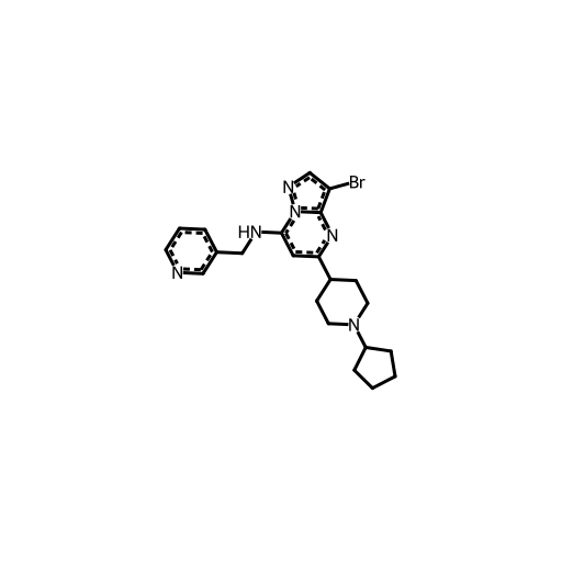 Brc1cnn2c(NCc3cccnc3)cc(C3CCN(C4CCCC4)CC3)nc12